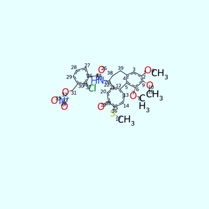 COc1cc2c(c(OC)c1OC)-c1ccc(SC)c(=O)cc1[C@@H](NC(=O)c1cccc(CO[N+](=O)[O-])c1Cl)CC2